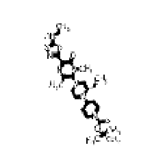 CCNc1nnc(-c2nc(C)c(N3CCN(C4CCN(C(=O)OC(C)(C)C)CC4)[C@@H](CC)C3)n(C)c2=O)o1